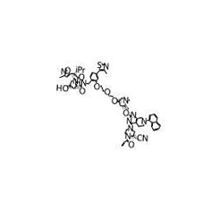 C=CC(=O)N1CCN(c2nc(OC[C@@H]3C[C@@H](OCCOCCOc4cc(-c5scnc5C)ccc4CNC(=O)[C@@H]4C[C@@H](O)CN4C(=O)[C@H](c4cc(C)no4)C(C)C)CN3C)nc3c2CCN(c2cccc4ccccc24)C3)C[C@@H]1CC#N